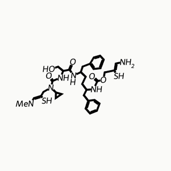 CN/C=C(\S)CN(C(=O)NC(CO)C(=O)NC(CCC(Cc1ccccc1)NC(=O)OC/C(S)=C/N)Cc1ccccc1)C1CC1